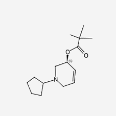 CC(C)(C)C(=O)O[C@H]1C=CCN(C2CCCC2)C1